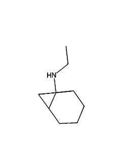 CCNC12C3CCCC1C32